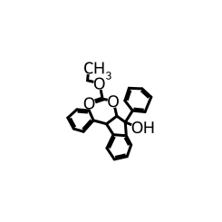 CCOC(=O)OC1C(c2ccccc2)c2ccccc2C1(O)c1ccccc1